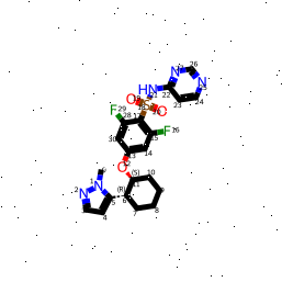 Cn1nccc1[C@H]1CCCC[C@@H]1Oc1cc(F)c(S(=O)(=O)Nc2ccncn2)c(F)c1